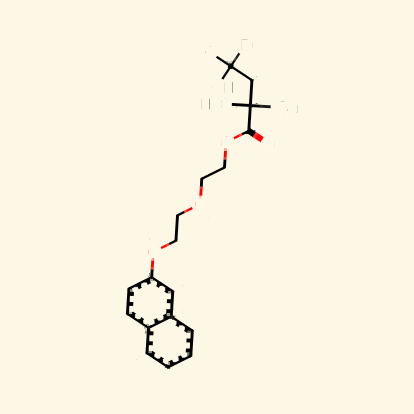 CCC(C)(C)CC(C)(C(=O)OCCOCCOc1ccc2ccccc2c1)C(C)(C)C